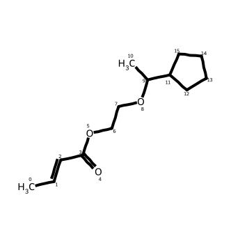 C/C=C/C(=O)OCCOC(C)C1CCCC1